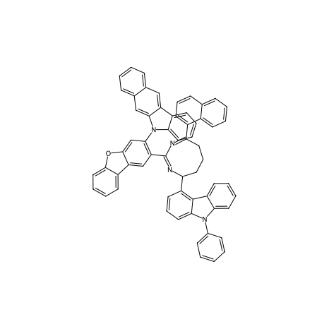 c1ccc(-n2c3ccccc3c3c(C4CCC/C(c5cccc6ccccc56)=N\C(c5cc6c(cc5-n5c7ccccc7c7cc8ccccc8cc75)oc5ccccc56)=N/4)cccc32)cc1